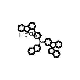 CC1(C)c2ccccc2-c2cccc(-c3ccc(N(c4ccc5c(c4)C4(CCc6ccccc64)c4ccccc4-5)c4ccc5ccccc5c4)cc3)c21